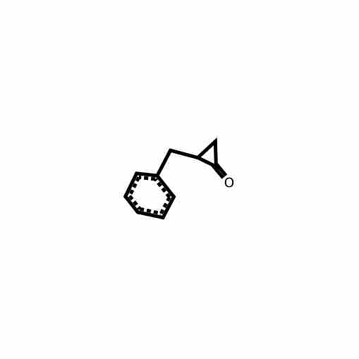 O=C1CC1Cc1ccccc1